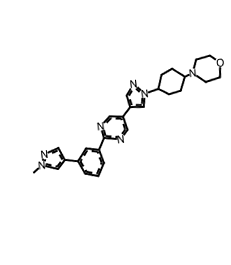 Cn1cc(-c2cccc(-c3ncc(-c4cnn(C5CCC(N6CCOCC6)CC5)c4)cn3)c2)cn1